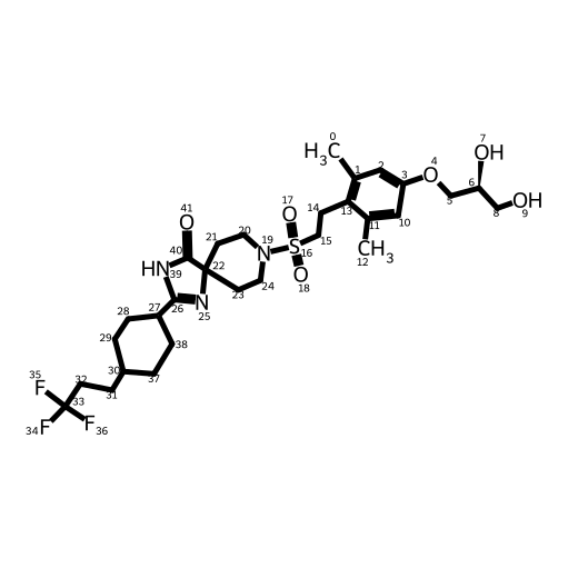 Cc1cc(OC[C@@H](O)CO)cc(C)c1CCS(=O)(=O)N1CCC2(CC1)N=C(C1CCC(CCC(F)(F)F)CC1)NC2=O